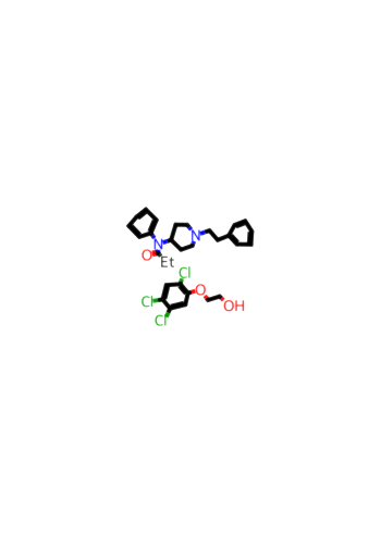 CCC(=O)N(c1ccccc1)C1CCN(CCc2ccccc2)CC1.OCCOc1cc(Cl)c(Cl)cc1Cl